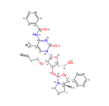 COCCO[C@H]1C(O[P@@]2O[C@H](c3ccccc3)[C@@H]3CCCN32)[C@@H](CO)O[C@H]1n1cc(C)c(NC(=O)c2ccccc2)nc1=O